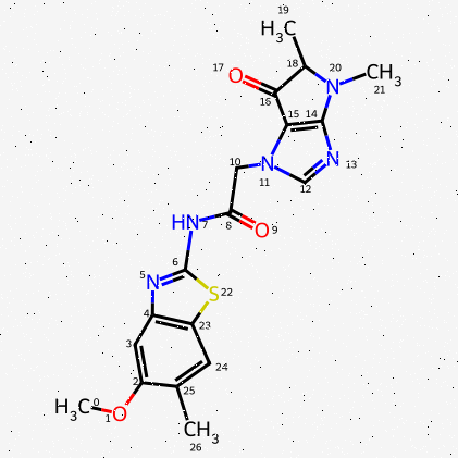 COc1cc2nc(NC(=O)Cn3cnc4c3C(=O)C(C)N4C)sc2cc1C